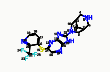 CC1(C)C2CNCC1CN(c1nc3nc(Sc4cccnc4C(F)(F)F)cnc3[nH]1)C2